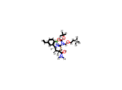 C=Cc1ccc(F)c([C@@]2(C)N=C(N(COCC[Si](C)(C)C)C(=O)OC(C)(C)C)S[C@](C)(C(=O)N(C)C)[C@H]2C)c1